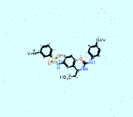 CNc1ccc(NC(=O)NC(CC(=O)O)c2cccc(NS(=O)(=O)c3cccc(NC)c3)c2)cc1